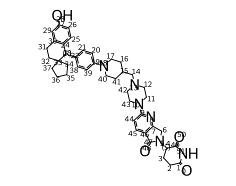 O=C1CC[C@H](N2Cc3nc(N4CCN(CC5CCN(c6ccc([C@@H]7c8ccc(O)cc8CCC78CCCC8)cc6)CC5)CC4)ccc3C2=O)C(=O)N1